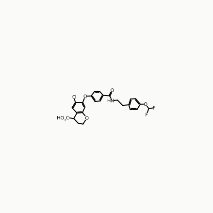 O=C(NCCc1ccc(OC(F)F)cc1)c1ccc(Oc2cc3c(cc2Cl)C(C(=O)O)CCO3)cc1